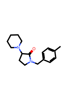 Cc1ccc(CN2CCC(N3CCCCC3)C2=O)cc1